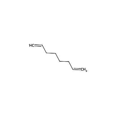 [CH]=CCCCCC=C